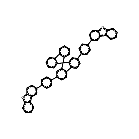 c1ccc2c(c1)-c1ccccc1C21c2cc(-c3ccc(-c4ccc5oc6ccccc6c5c4)cc3)ccc2-c2ccc(-c3ccc(-c4ccc5oc6ccccc6c5c4)cc3)cc21